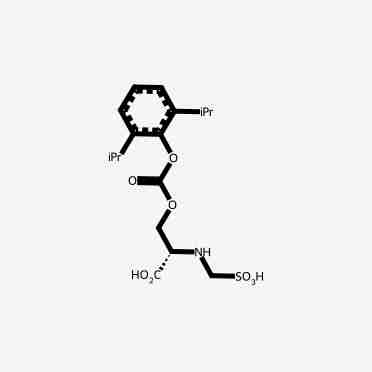 CC(C)c1cccc(C(C)C)c1OC(=O)OC[C@H](NCS(=O)(=O)O)C(=O)O